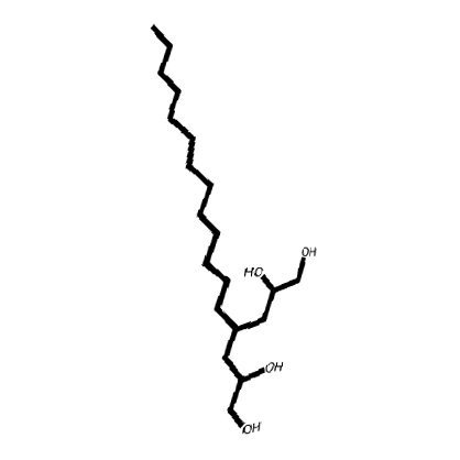 CCCCCCCCCCCCC[C](CC(O)CO)CC(O)CO